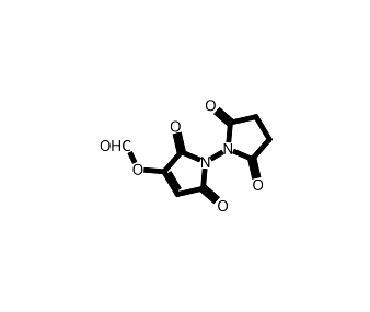 O=COC1=CC(=O)N(N2C(=O)CCC2=O)C1=O